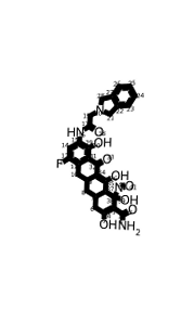 NC(=O)C1=C(O)CC2CC3Cc4c(F)cc(NC(=O)CN5Cc6ccccc6C5)c(O)c4C(=O)C3=C(O)C2C1(O)N=O